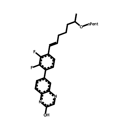 CCCCCOC(C)CCCC=Cc1ccc(-c2ccc3nc(O)cnc3c2)c(F)c1F